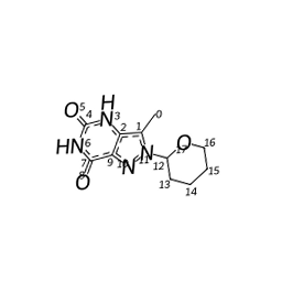 Cc1c2[nH]c(=O)[nH]c(=O)c2nn1C1CCCCO1